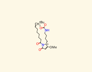 C=CCCCCCC(=O)N1C(=O)C=C(OC)[C@@H]1CCCCNC(=O)OC(C)(C)C